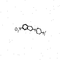 CN(C)C1CCN(C2Cc3ccc([N+](=O)[O-])cc3C2)CC1